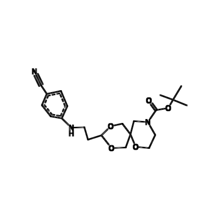 CC(C)(C)OC(=O)N1CCOC2(COC(CCNc3ccc(C#N)cc3)OC2)C1